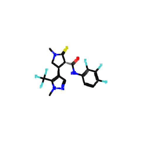 CN1C[C@H](c2cnn(C)c2C(F)(F)F)[C@@H](C(=O)Nc2ccc(F)c(F)c2F)C1=S